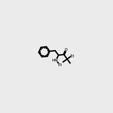 CCNC(Cc1ccccc1)C(=O)C(C)(C)CC